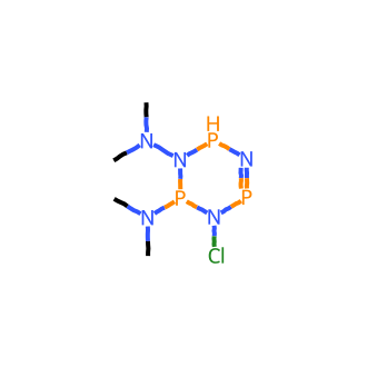 CN(C)n1[pH]npn(Cl)p1N(C)C